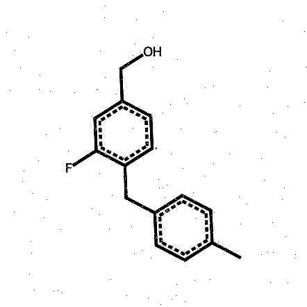 Cc1ccc(Cc2[c]cc(CO)cc2F)cc1